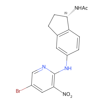 CC(=O)N[C@H]1CCc2cc(Nc3ncc(Br)cc3[N+](=O)[O-])ccc21